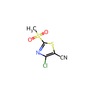 CS(=O)(=O)c1nc(Cl)c(C#N)s1